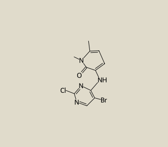 Cc1ccc(Nc2nc(Cl)ncc2Br)c(=O)n1C